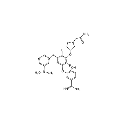 CN(C)c1cccc(Oc2nc(Oc3cc(C(=N)N)ccc3O)c(F)c(OC3CCN(CC(N)=O)C3)c2F)c1